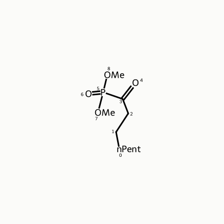 CCCCCCCC(=O)P(=O)(OC)OC